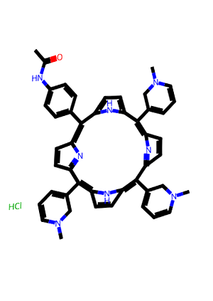 CC(=O)Nc1ccc(-c2c3nc(c(C4=CC=CN(C)C4)c4ccc([nH]4)c(C4=CC=CN(C)C4)c4nc(c(C5=CC=CN(C)C5)c5ccc2[nH]5)C=C4)C=C3)cc1.Cl